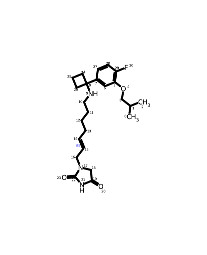 CC(C)COc1cc(C2(NCCCC/C=C/CN3CC(=O)NC3=O)CCC2)ccc1F